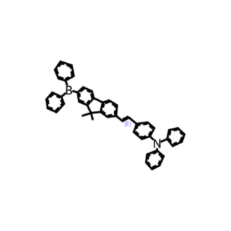 CC1(C)c2cc(/C=C/c3ccc(N(c4ccccc4)c4ccccc4)cc3)ccc2-c2ccc(B(c3ccccc3)c3ccccc3)cc21